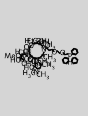 CC[C@H]1OC(=O)[C@H](C)[C@@H](C2C[C@@](C)(OC)[C@@H](O)[C@H](C)O2)[C@H](C)[C@@H](O[C@@H]2O[C@H](C)C[C@H](N(C)C)[C@H]2O)[C@](C)(O)C[C@@H](C)CN(C(=O)CCOCCOCC[PH](c2ccccc2)(c2ccccc2)c2ccccc2)[C@H](C)[C@@H](O)[C@]1(C)O